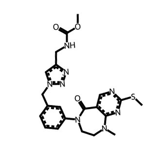 COC(=O)NCc1cn(Cc2cccc(N3CCN(C)c4nc(SC)ncc4C3=O)c2)nn1